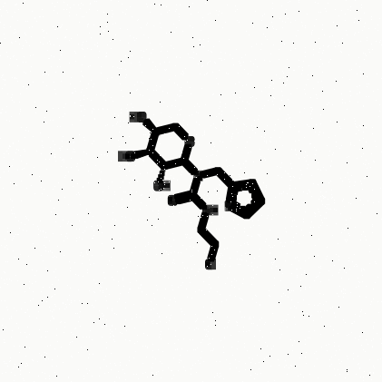 O=C(NCCCl)N(Cc1cccs1)C1OC[C@H](O)[C@H](O)[C@H]1O